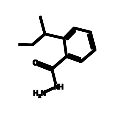 CCC(C)c1ccccc1C(=O)NN